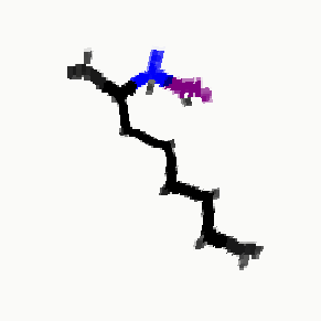 CCCC(CCCCCC(C)C)NP